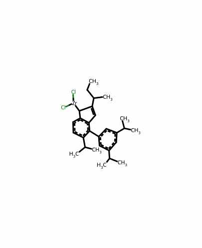 CCC(C)C1=Cc2c(ccc(C(C)C)c2-c2cc(C(C)C)cc(C(C)C)c2)[CH]1[Zr]([Cl])[Cl]